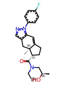 CC(C)CN(C[C@@H](C)O)C(=O)[C@H]1CCC2=Cc3c(cnn3-c3ccc(F)cc3)C[C@@]21C